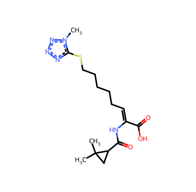 Cn1nnnc1SCCCCCC=C(NC(=O)C1CC1(C)C)C(=O)O